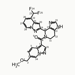 COCc1ccc2c(C(=O)N3CCc4[nH]cnc4C3c3cc4c(C(F)F)cccn4n3)cnn2c1